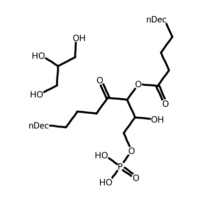 CCCCCCCCCCCCCC(=O)OC(C(=O)CCCCCCCCCCCCC)C(O)COP(=O)(O)O.OCC(O)CO